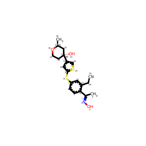 C/C(=N\O)c1ccc(Sc2cc([C@@]3(O)CCO[C@@H](C)C3)cs2)cc1CC#N